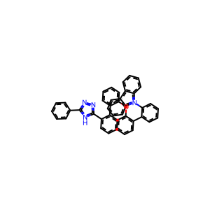 c1ccc(-c2nnc(-c3ccccc3-c3ccccc3Oc3ccccc3-c3ccccc3-n3c4ccccc4c4ccccc43)[nH]2)cc1